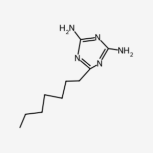 CCCCCCCc1nc(N)nc(N)n1